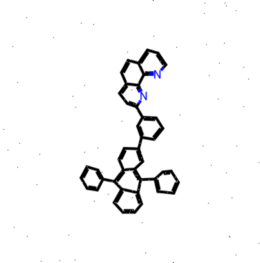 c1ccc(-c2c3ccccc3c(-c3ccccc3)c3cc(-c4cccc(-c5ccc6ccc7cccnc7c6n5)c4)ccc23)cc1